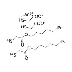 CC(C)CCCCCOC(=O)CS.CC(C)CCCCCOC(=O)CS.O=C([O-])CS.O=C([O-])CS.[CH3][Sn+2][CH3]